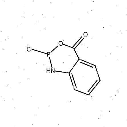 O=C1OP(Cl)Nc2ccccc21